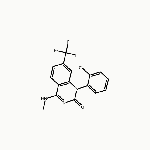 CNc1nc(=O)n(-c2ccccc2Cl)c2cc(C(F)(F)F)ccc12